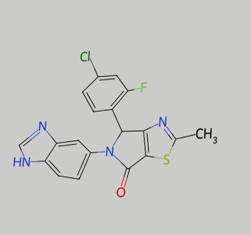 Cc1nc2c(s1)C(=O)N(c1ccc3[nH]cnc3c1)C2c1ccc(Cl)cc1F